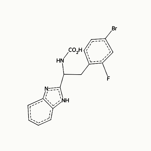 O=C(O)NC(Cc1ccc(Br)cc1F)c1nc2ccccc2[nH]1